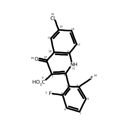 O=C(O)c1c(-c2c(F)cccc2F)[nH]c2ccc(Cl)cc2c1=O